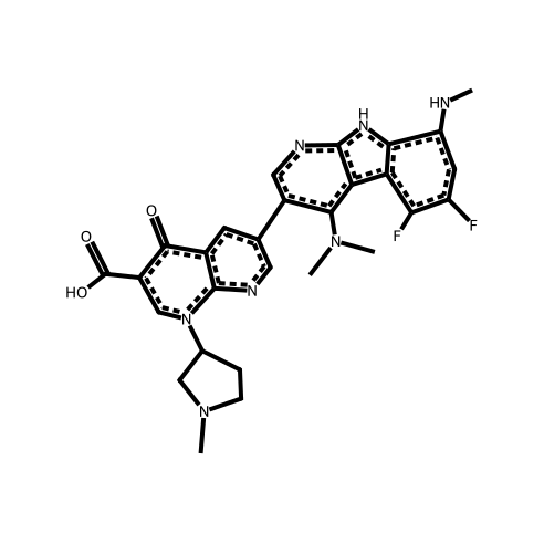 CNc1cc(F)c(F)c2c1[nH]c1ncc(-c3cnc4c(c3)c(=O)c(C(=O)O)cn4C3CCN(C)C3)c(N(C)C)c12